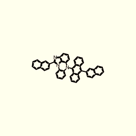 c1ccc2c(c1)N(c1c3ccccc3c(-c3ccc4ccccc4c3)c3ccccc13)c1cccc3nc(-c4ccc5ccccc5c4)n-2c13